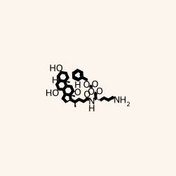 C[C@H](CCC(=O)N[C@@H](CCCCN)C(=O)OC(=O)OCc1ccccc1)[C@H]1CCC2C3C(C[C@H](O)[C@@]21C)[C@@]1(C)CC[C@@H](O)C[C@H]1C[C@H]3O